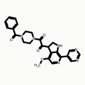 COc1cnc(-c2cncnc2)c2c1C(C(=O)C(=O)N1CCN(C(=O)c3ccccc3)CC1)CN2